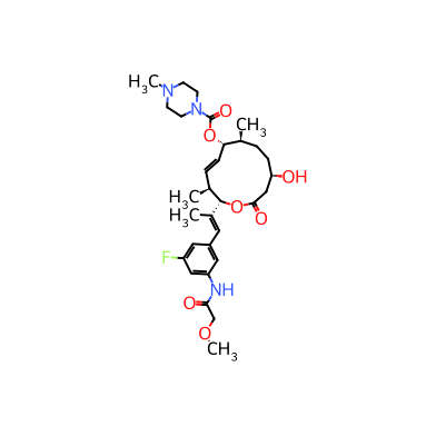 COCC(=O)Nc1cc(F)cc(/C=C(\C)[C@H]2OC(=O)C[C@H](O)CC[C@H](C)[C@@H](OC(=O)N3CCN(C)CC3)/C=C/[C@@H]2C)c1